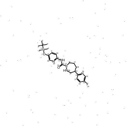 CC(C)(C)[Si](C)(C)Oc1ccc(NC(=O)N2CCCC(c3ccc(F)cn3)CN2)nc1